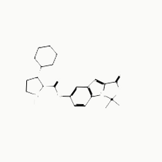 CC1(C)OC(=O)c2cc3cc(NC(=O)[C@H]4NCC[C@H]4C4CCCCC4)ccc3n21